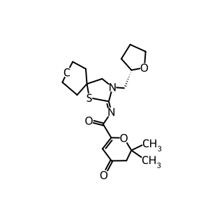 CC1(C)CC(=O)C=C(C(=O)N=C2SC3(CCCCC3)CN2C[C@@H]2CCCO2)O1